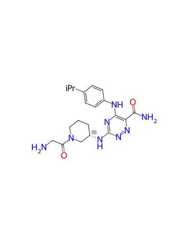 CC(C)c1ccc(Nc2nc(N[C@H]3CCCN(C(=O)CN)C3)nnc2C(N)=O)cc1